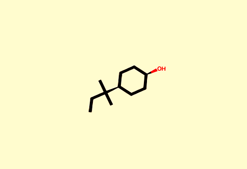 CCC(C)(C)[C@H]1CC[C@@H](O)CC1